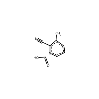 Cc1cccnc1C#N.O=CO